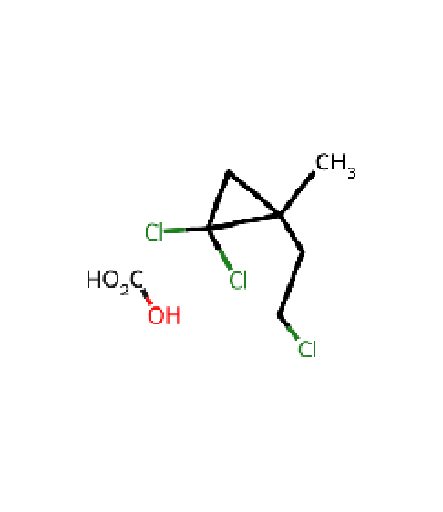 CC1(CCCl)CC1(Cl)Cl.O=C(O)O